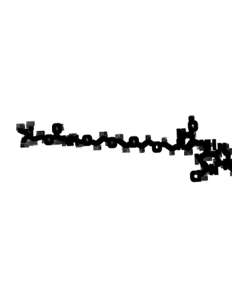 COc1nn(CCOCCOCCOCCOCCNC(=O)OCC[Si](C)(C)C)cc1Nc1nc(Cl)nc2c1ncn2C